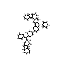 c1ccc(N(c2ccc(-c3ccc4c(c3)c3cc5c(ccc6sc7ccccc7c65)cc3n4-c3ccccc3)cc2)c2ccc3c(c2)sc2ccccc23)cc1